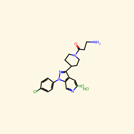 Cl.Cl.NCCC(=O)N1CCC(c2nn(-c3ccc(Cl)cc3)c3cnccc23)CC1